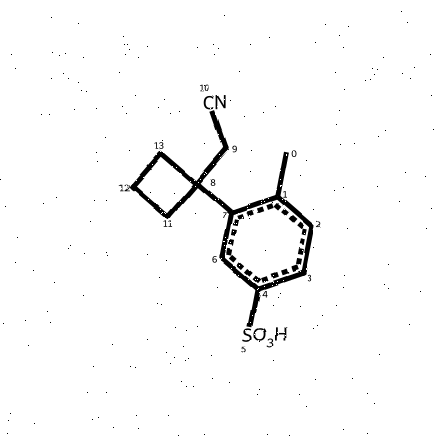 Cc1ccc(S(=O)(=O)O)cc1C1(CC#N)CCC1